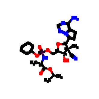 CC(C)OC(=O)[C@H](C)N[P@@](=O)(OC[C@H]1O[C@@H](c2ccc3c(N)ncnn23)[C@](C)(C#N)[C@@H]1O)Oc1ccccc1